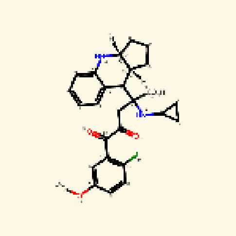 O=C(CC(NC1CC1)(C(=O)O)C1c2ccccc2N[C@@H]2CCC[C@H]12)C(=O)c1cc(OC(F)(F)F)ccc1Cl